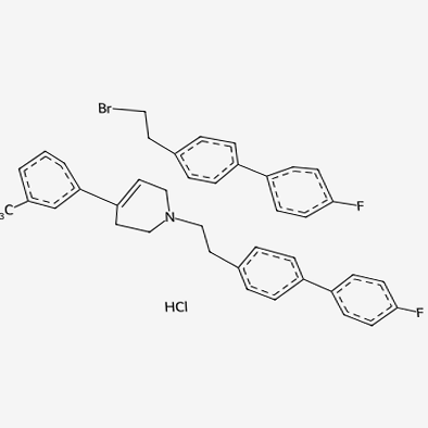 Cl.Fc1ccc(-c2ccc(CCBr)cc2)cc1.Fc1ccc(-c2ccc(CCN3CC=C(c4cccc(C(F)(F)F)c4)CC3)cc2)cc1